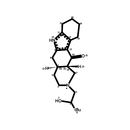 CC(C)(C)C(O)CN1CC[C@H]2Cc3[nH]c4c(c3C(=O)[C@@H]2C1)CCCC4